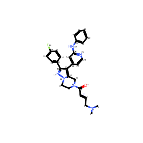 CN(C)C/C=C/C(=O)N1CCn2nc(-c3ccc(F)cc3)c(-c3ccnc(Nc4ccccc4)c3)c2C1